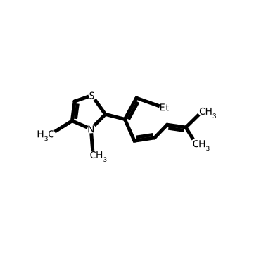 CC/C=C(\C=C/C=C(C)C)C1SC=C(C)N1C